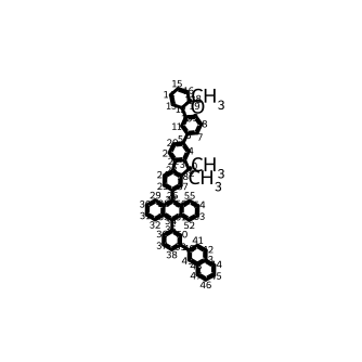 CC1(C)c2cc(-c3ccc4c(c3)C3C=CC=CC3(C)O4)ccc2-c2ccc(-c3c4ccccc4c(-c4cccc(-c5ccc6ccccc6c5)c4)c4ccccc34)cc21